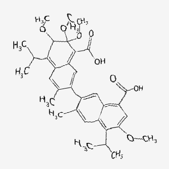 COc1cc(C(=O)O)c2cc(-c3cc4c(cc3C)=C(C(C)C)C(OC)C(OC)(OC)C=4C(=O)O)c(C)cc2c1C(C)C